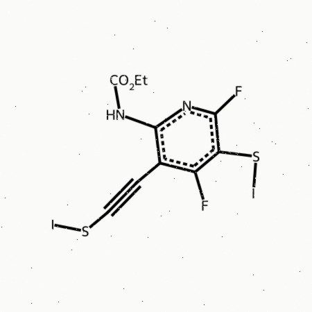 CCOC(=O)Nc1nc(F)c(SI)c(F)c1C#CSI